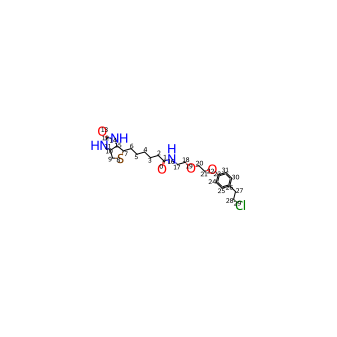 O=C(CCCCCC1SCC2NC(=O)NC21)NCCOCCOc1ccc(CCCl)cc1